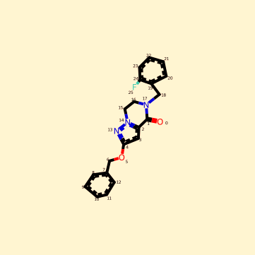 O=C1c2cc(OCc3ccccc3)nn2CCN1Cc1ccccc1F